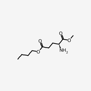 CCCCOC(=O)CC[C@H](N)C(=O)OC